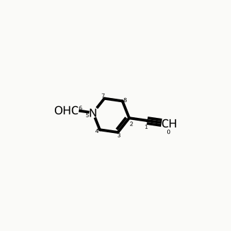 C#CC1=CCN(C=O)CC1